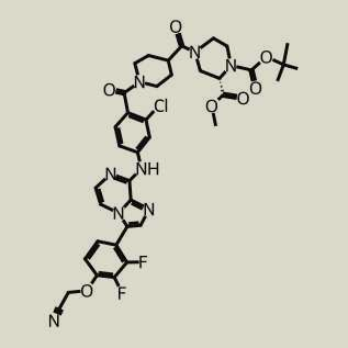 COC(=O)[C@@H]1CN(C(=O)C2CCN(C(=O)c3ccc(Nc4nccn5c(-c6ccc(OCC#N)c(F)c6F)cnc45)cc3Cl)CC2)CCN1C(=O)OC(C)(C)C